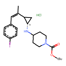 CC(=Cc1ccc(I)cc1)C1C[C@@H]1NC1CCN(C(=O)OC(C)(C)C)CC1.Cl